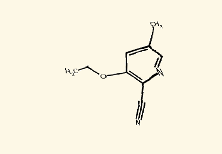 CCOc1cc(C)cnc1C#N